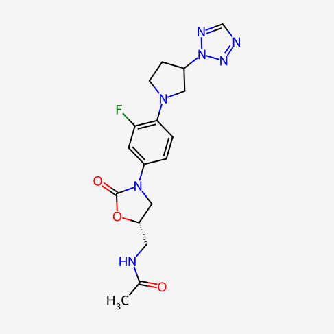 CC(=O)NC[C@H]1CN(c2ccc(N3CCC(n4ncnn4)C3)c(F)c2)C(=O)O1